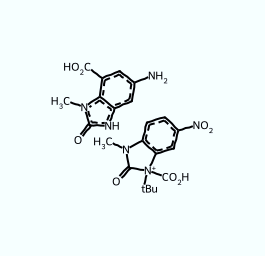 CN1C(=O)[N+](C(=O)O)(C(C)(C)C)c2cc([N+](=O)[O-])ccc21.Cn1c(=O)[nH]c2cc(N)cc(C(=O)O)c21